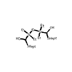 CCCCCCCC(O)[Si](CC)(CC)O[Si](CC)(CC)C(O)CCCCCCC